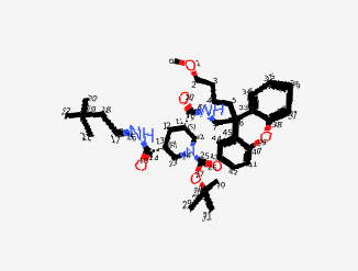 COCCCCC1(CNC(=O)[C@H]2C[C@@H](C(=O)NCCC(C)(C)C)CN(C(=O)OC(C)(C)C)C2)c2ccccc2Oc2ccccc21